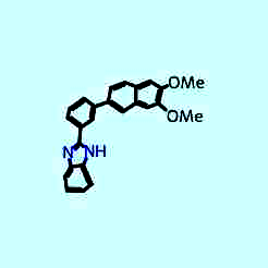 COc1cc2ccc(-c3cccc(-c4nc5ccccc5[nH]4)c3)cc2cc1OC